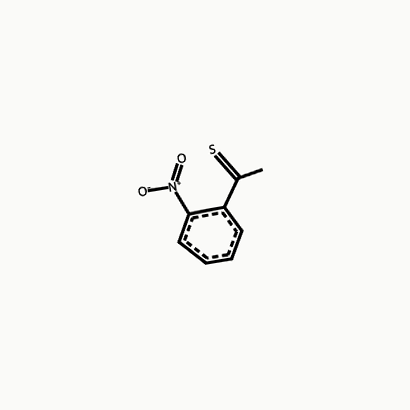 CC(=S)c1ccccc1[N+](=O)[O-]